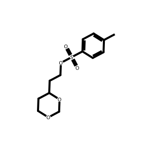 Cc1ccc(S(=O)(=O)OCCC2CCOCO2)cc1